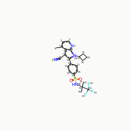 Cc1ccnc2c1c(C#N)c(-c1ccc(S(=O)(=O)NC(C)(C)C(F)(F)F)cc1)n2C1CCC1